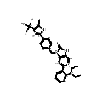 CCN(CC)c1ncccc1-c1ncc2[nH]c(=O)n(Cc3ccc(-c4nc(C(F)(F)F)c(C)[nH]4)cc3)c2n1